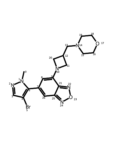 Cn1ncc(Br)c1-c1cc(N2CC(CN3CCOCC3)C2)c2nonc2c1